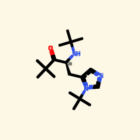 CC(C)(C)N[C@@H](Cc1cncn1C(C)(C)C)C(=O)C(C)(C)C